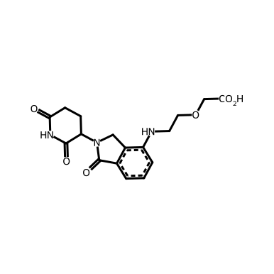 O=C(O)COCCNc1cccc2c1CN(C1CCC(=O)NC1=O)C2=O